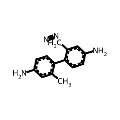 Cc1cc(N)ccc1-c1ccc(N)cc1C.N#N